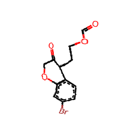 O=COCCC1C(=O)COc2cc(Br)ccc21